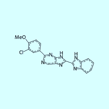 COc1ccc(-c2ncc3nc(-c4nc5ccccc5[nH]4)[nH]c3n2)cc1Cl